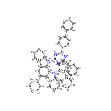 c1ccc(-c2ccc(-c3nc(-c4ccccc4)nc(-n4c5ccccc5c5cc(-c6ccccc6)c6c7ccccc7n(-c7ccccc7-c7ccccc7)c6c54)n3)cc2)cc1